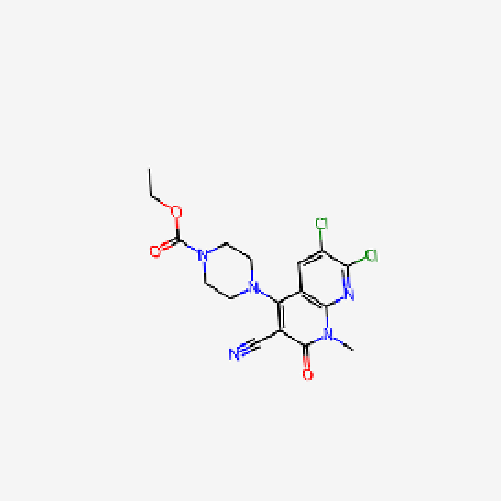 CCOC(=O)N1CCN(c2c(C#N)c(=O)n(C)c3nc(Cl)c(Cl)cc23)CC1